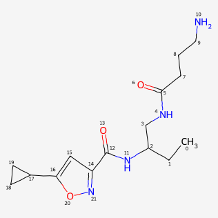 CCC(CNC(=O)CCCN)NC(=O)c1cc(C2CC2)on1